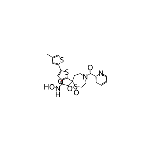 Cc1csc(-c2ccc(C3(CC(=O)NO)CCN(C(=O)c4ccccn4)CCS3(=O)=O)s2)c1